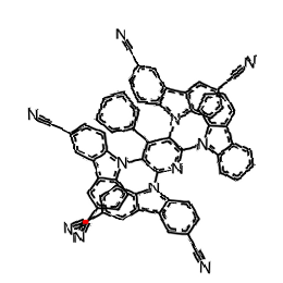 N#Cc1ccc2c(c1)c1cc(C#N)ccc1n2-c1nc(-n2c3ccccc3c3ccccc32)c(-n2c3ccc(C#N)cc3c3cc(C#N)ccc32)c(-c2ccccc2)c1-n1c2ccc(C#N)cc2c2cc(C#N)ccc21